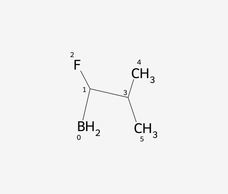 BC(F)C(C)C